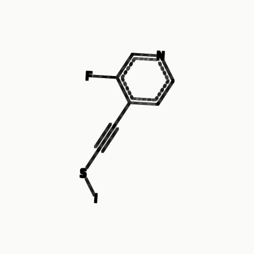 Fc1cnccc1C#CSI